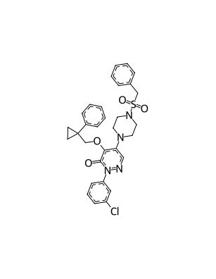 O=c1c(OCC2(c3ccccc3)CC2)c(N2CCN(S(=O)(=O)Cc3ccccc3)CC2)cnn1-c1cccc(Cl)c1